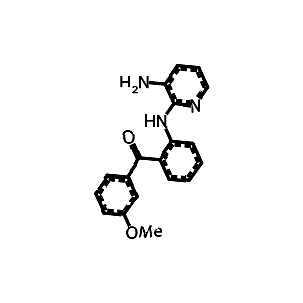 COc1cccc(C(=O)c2ccccc2Nc2ncccc2N)c1